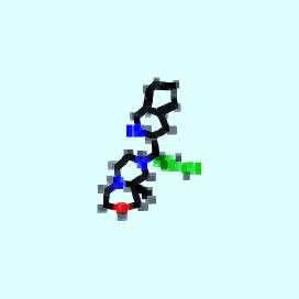 Cl.Cl.Cl.c1ccc2c(c1)CN[C@H](CN1CCN3CCOC[C@H]3C1)C2